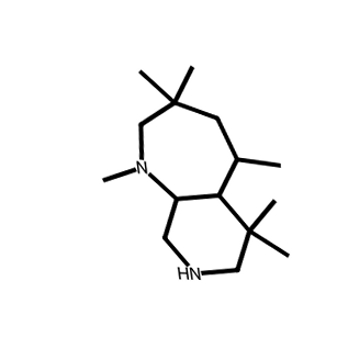 CC1CC(C)(C)CN(C)C2CNCC(C)(C)C12